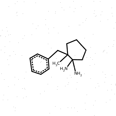 CC1(Cc2ccccc2)CCCCC1(N)N